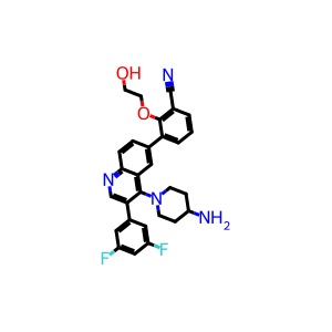 N#Cc1cccc(-c2ccc3ncc(-c4cc(F)cc(F)c4)c(N4CCC(N)CC4)c3c2)c1OCCO